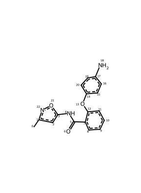 Cc1cc(NC(=O)c2ccccc2Oc2ccc(N)cc2)on1